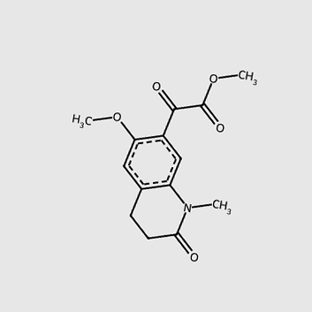 COC(=O)C(=O)c1cc2c(cc1OC)CCC(=O)N2C